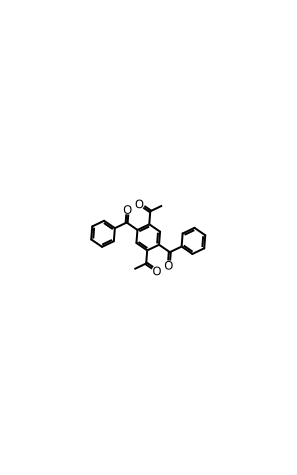 CC(=O)c1cc(C(=O)c2ccccc2)c(C(C)=O)cc1C(=O)c1ccccc1